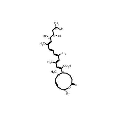 CC(=CC=CC(C)=C[C@H](O)[C@@H](O)C[C@H](C)O)C=C(C)C=C(C(=O)O)[C@H]1CCCC(=O)O[C@@H](C(C)C)CC=CC[C@@H]1C